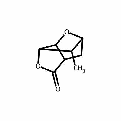 CC1C2CC3C(=O)OC1C3O2